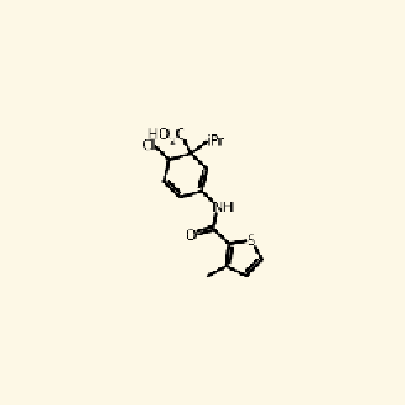 Cc1ccsc1C(=O)NC1=CC(C(=O)O)(C(C)C)C(Cl)C=C1